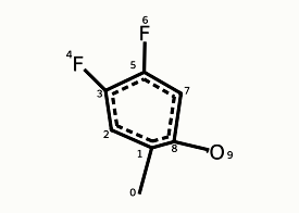 Cc1cc(F)c(F)cc1[O]